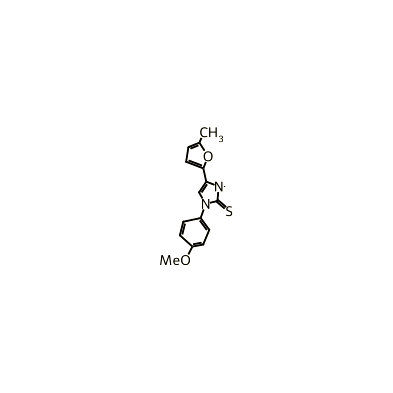 COc1ccc(N2C=C(c3ccc(C)o3)[N]C2=S)cc1